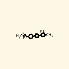 Cc1ccc(-c2ccc(C3CCC(CCC(C)(F)F)CC3)cc2)c(F)c1F